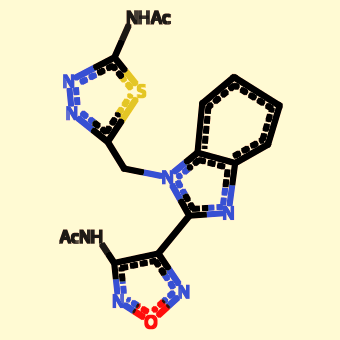 CC(=O)Nc1nnc(Cn2c(-c3nonc3NC(C)=O)nc3ccccc32)s1